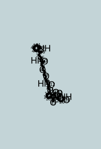 O=C(CCOCCOCCNC(=O)COc1cccc2c1C(=O)N(C1CCC(=O)NC1=O)C2=O)NCCc1c[nH]c2ccccc12